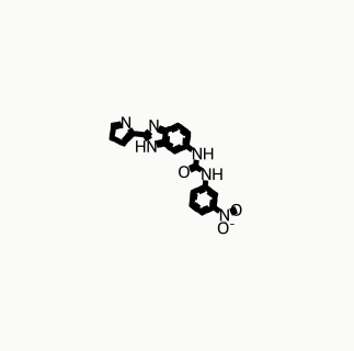 O=C(Nc1cccc([N+](=O)[O-])c1)Nc1ccc2nc(C3=CCC=N3)[nH]c2c1